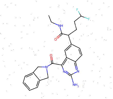 CCNC(=O)C(CCC(F)F)c1ccc2nc(N)nc(C(=O)N3Cc4ccccc4C3)c2c1